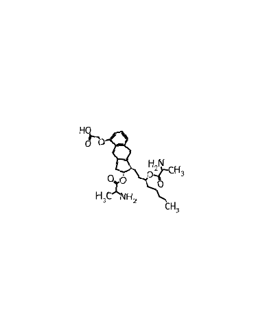 CCCCC[C@@H](CC[C@@H]1C2Cc3cccc(OCC(=O)O)c3CC2C[C@H]1OC(=O)C(C)N)OC(=O)C(C)N